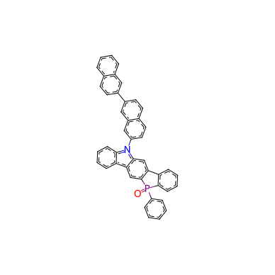 O=P1(c2ccccc2)c2ccccc2-c2cc3c(cc21)c1ccccc1n3-c1ccc2ccc(-c3ccc4ccccc4c3)cc2c1